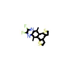 Cc1c2nc(F)c(F)nc2c(C)c2c3sccc3c3ccsc3c12